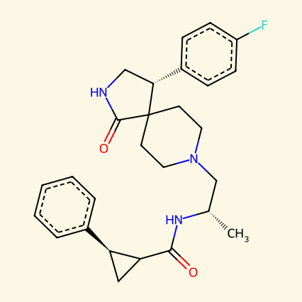 C[C@@H](CN1CCC2(CC1)C(=O)NC[C@@H]2c1ccc(F)cc1)NC(=O)C1C[C@H]1c1ccccc1